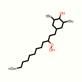 CCCCCCCCCCCCCCCCCCC(CCC1CC(C(C)(C)C)C(O)C(C(C)(C)C)C1)OO